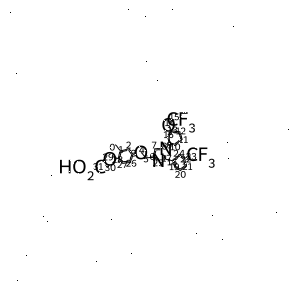 Cc1cc(OCc2cn(-c3cccc(OC(F)(F)F)c3)c(-c3cccc(C(F)(F)F)c3)n2)ccc1OCC(=O)O